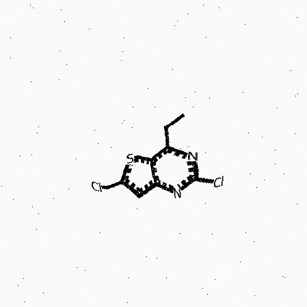 CCc1nc(Cl)nc2cc(Cl)sc12